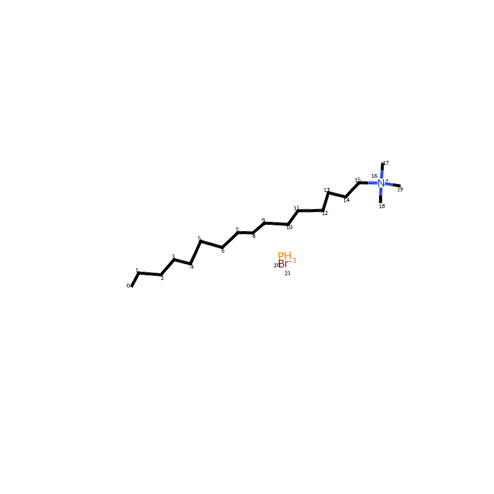 CCCCCCCCCCCCCCCC[N+](C)(C)C.P.[Br-]